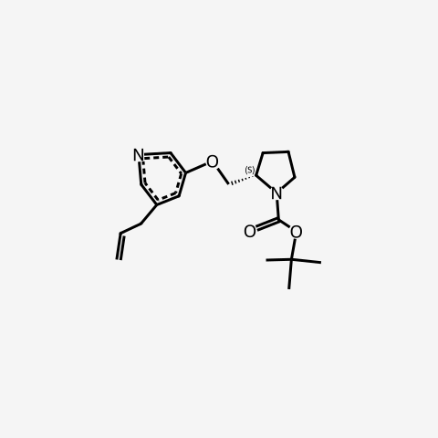 C=CCc1cncc(OC[C@@H]2CCCN2C(=O)OC(C)(C)C)c1